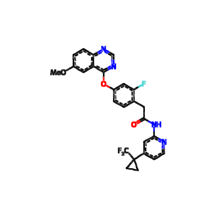 COc1ccc2ncnc(Oc3ccc(CC(=O)Nc4cc(C5(C(F)(F)F)CC5)ccn4)c(F)c3)c2c1